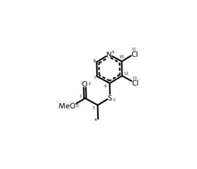 COC(=O)C(C)Sc1ccnc(Cl)c1Cl